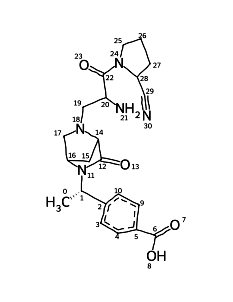 C[C@@H](c1ccc(C(=O)O)cc1)N1C(=O)C2CC1CN2CC(N)C(=O)N1CCCC1C#N